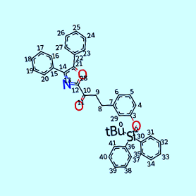 CC(C)(C)[Si](Oc1cccc(CCC(=O)c2nc(-c3ccccc3)c(-c3ccccc3)o2)c1)(c1ccccc1)c1ccccc1